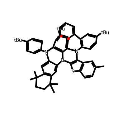 Cc1ccc2sc3c(c2c1)N(c1ccc(C(C)(C)C)cc1-c1ccccc1)c1cc(C(C)(C)C)cc2c1B3c1cc3c(cc1N2c1ccc(C(C)(C)C)cc1)C(C)(C)CCC3(C)C